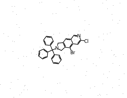 Clc1cc2c(Br)c3c(cc2cn1)CN(C(c1ccccc1)(c1ccccc1)c1ccccc1)C3